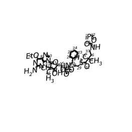 CCOc1nc(N)nc2c1ncn2[C@@H]1O[C@H](CO[P@@](=O)(NCc2ccccc2)OCCSC(=O)C(C)(C)CCNC(=O)OC(C)C)[C@@H](O)[C@@]1(C)Cl